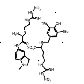 CC(C)(C)c1cc(CNC(CCCNC(=N)N[N+](=O)[O-])C(=O)O)cc(C(C)(C)C)c1O.CN1CCc2cc(NC(=O)[C@@H](N)CCCNC(=N)N[N+](=O)[O-])ccc21